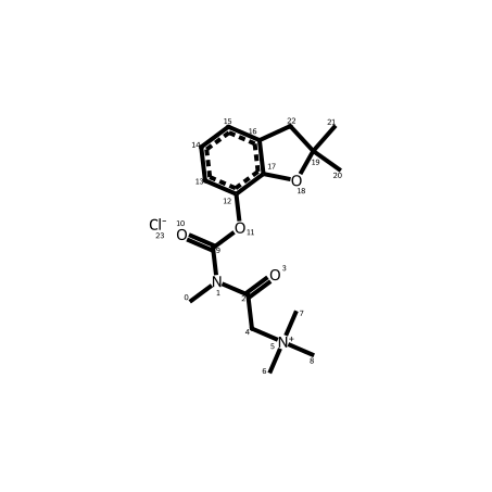 CN(C(=O)C[N+](C)(C)C)C(=O)Oc1cccc2c1OC(C)(C)C2.[Cl-]